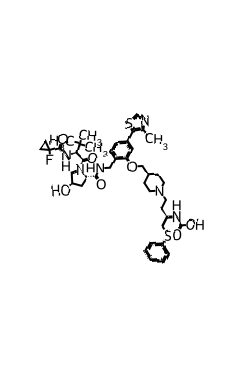 Cc1ncsc1-c1ccc(CNC(=O)[C@@H]2C[C@@H](O)CN2C(=O)[C@@H](NC(=O)C2(F)CC2)C(C)(C)C)c(OCC2CCN(CC[C@H](CSc3ccccc3)NC(=O)O)CC2)c1